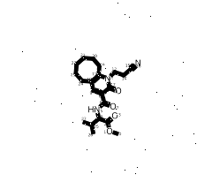 COC(=O)C(NC(=O)c1cc2c(n(CCC#N)c1=O)CCCCCC2)C(C)C